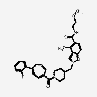 COCCNC(=O)c1ccc2nn(CC3CCN(C(=O)C4=CC=C(c5ccccc5F)CC=C4)CC3)cc2c1C